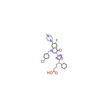 CN1CCN(c2cc3c(cc2F)c(=O)c(-c2noc(C(CCCC(=O)O)c4ccccc4)n2)cn3Cc2ccc(Cl)cc2)CC1